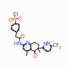 CCS(=O)(=O)c1ccc(CC(=O)Nc2cc(C)c3c(n2)CCC(C)(c2ccc(C(F)(F)F)nn2)C3=O)cc1